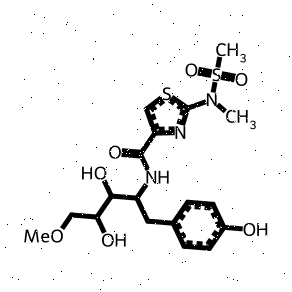 COCC(O)C(O)C(Cc1ccc(O)cc1)NC(=O)c1csc(N(C)S(C)(=O)=O)n1